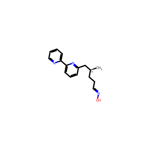 C[C@@H](CCC=NO)Cc1cccc(-c2ccccn2)n1